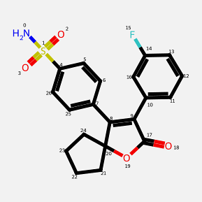 NS(=O)(=O)c1ccc(C2=C(c3cccc(F)c3)C(=O)OC23CCCC3)cc1